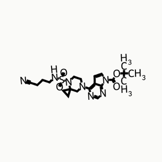 CC(C)(C)OC(=O)n1ccc2c(N3CCN(S(=O)(=O)NCCCC#N)C4(CC4)C3)ncnc21